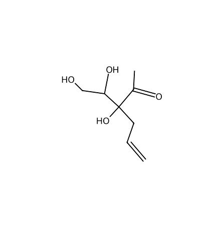 C=CCC(O)(C(C)=O)C(O)CO